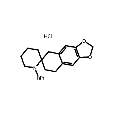 CCCN1CCCCC12CCc1cc3c(cc1C2)OCO3.Cl